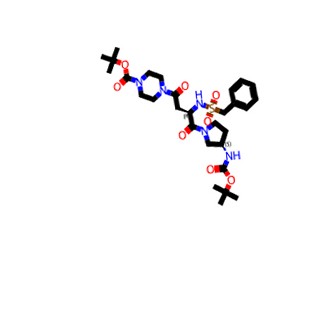 CC(C)(C)OC(=O)N[C@H]1CCN(C(=O)[C@@H](CC(=O)N2CCN(C(=O)OC(C)(C)C)CC2)NS(=O)(=O)Cc2ccccc2)C1